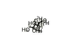 [2H]OC([2H])([2H])C(=O)[C@]([2H])(O[2H])[C@H](O)[C@H](O)CO